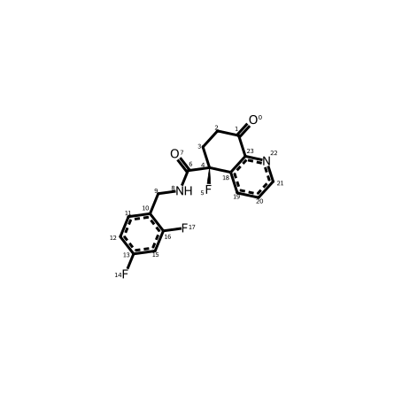 O=C1CC[C@@](F)(C(=O)NCc2ccc(F)cc2F)c2cccnc21